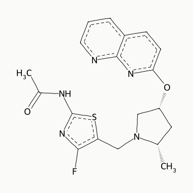 CC(=O)Nc1nc(F)c(CN2C[C@H](Oc3ccc4cccnc4n3)C[C@@H]2C)s1